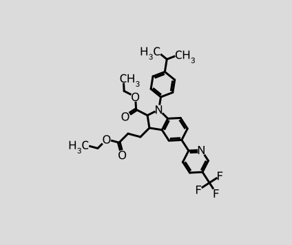 CCOC(=O)CCC1c2cc(-c3ccc(C(F)(F)F)cn3)ccc2N(c2ccc(C(C)C)cc2)C1C(=O)OCC